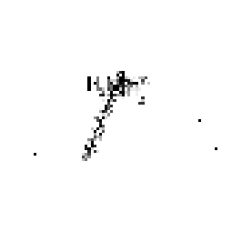 CCCCCCCCCCCCCCC(N)(N)C(=S)OCCC